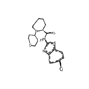 O=C(Nc1nc2cc(Cl)ccc2s1)[C@@H]1CCCCN1C1CCOCC1